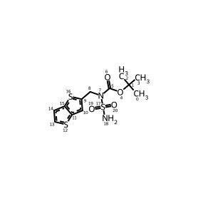 CC(C)(C)OC(=O)N(Cc1cc2sccc2s1)S(N)(=O)=O